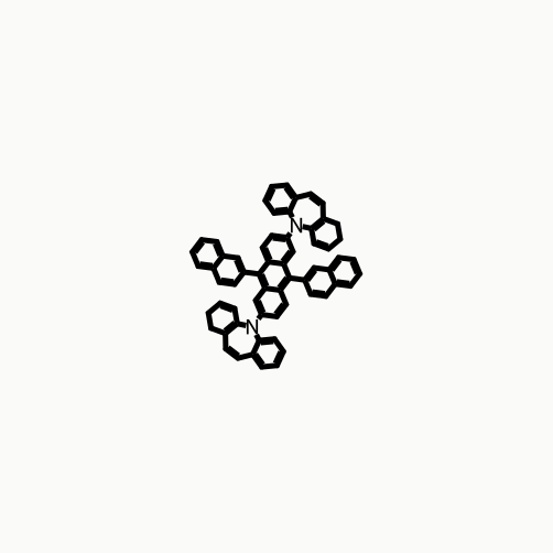 C1=CC2=C(C=Cc3ccccc3N2c2ccc3c(-c4ccc5ccccc5c4)c4cc(N5C6=C(C=Cc7ccccc75)CCC=C6)ccc4c(-c4ccc5ccccc5c4)c3c2)CC1